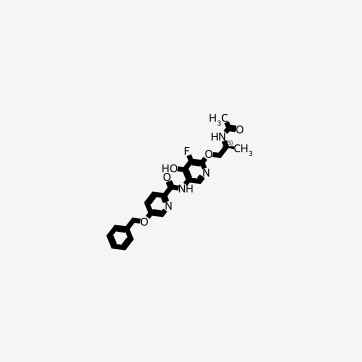 CC(=O)N[C@@H](C)COc1ncc(NC(=O)c2ccc(OCc3ccccc3)cn2)c(O)c1F